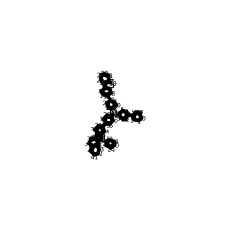 c1ccc(-c2ccc(N(c3ccc(-c4ccc5c(c4)sc4ccccc45)cc3)c3ccc(-c4ccc5c6ccc7ccccc7c6n(-c6ccccc6)c5c4)cc3)cc2)cc1